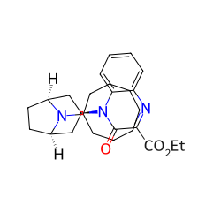 CCOC(=O)c1nc2ccccc2n([C@H]2C[C@H]3CC[C@@H](C2)N3C2CCCCCCC2)c1=O